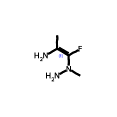 C/C(N)=C(\F)N(C)N